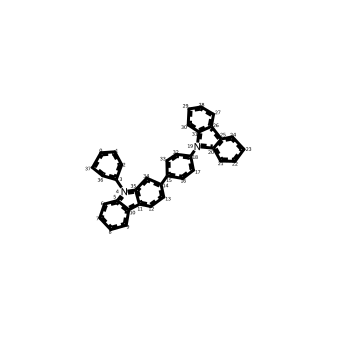 c1ccc(-n2c3ccccc3c3ccc(-c4ccc(-n5c6ccccc6c6ccccc65)cc4)cc32)cc1